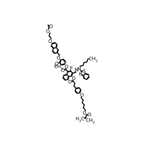 C=C(C)C(=O)OCCCCCCOc1ccc(CCC(=O)Oc2c(/C=N/N(CCCCCC)c3nc4ccccc4s3)c(F)c(C(=O)Oc3ccc(OCc4ccc5cc(OCCCOC6CO6)ccc5c4)c(OC)c3)c3ccccc23)cc1